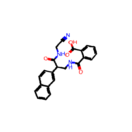 N#CCNC(=O)C(CNC(=O)c1ccccc1C(=O)O)c1ccc2ccccc2c1